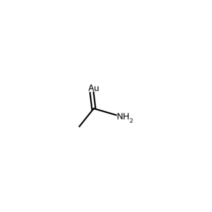 C[C](N)=[Au]